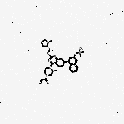 C=CC(=O)N1CCN(c2nc(OC[C@@H]3CCCN3C)nc3c2CCC(c2cc(O[Si](C)(C)C(C)(C)C)cc4ccccc24)C3)[C@@H](C)C1